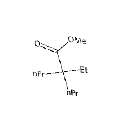 CCCC(CC)(CCC)C(=O)OC